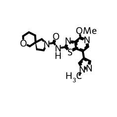 COc1ncc(-c2cnn(C)c2)c2sc(NC(=O)N3CC[C@@]4(CCCOC4)C3)nc12